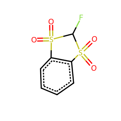 O=S1(=O)c2ccccc2S(=O)(=O)C1F